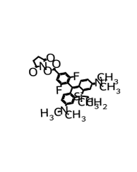 C=C[Si]1(C)C2=CC(=[N+](C)C)C=CC2=C(c2c(F)cc(C(=O)ON3C(=O)CCC3=O)cc2F)c2ccc(N(C)C)cc21